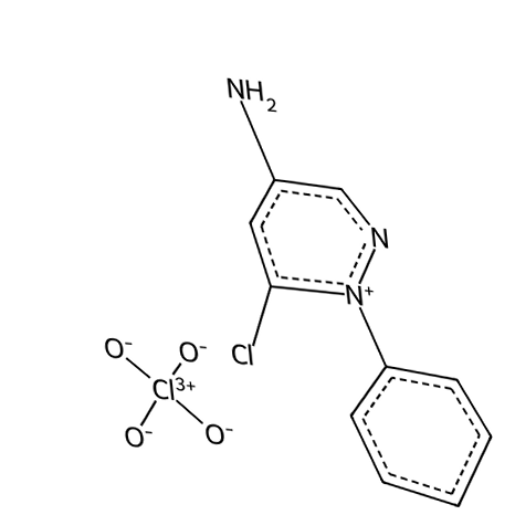 Nc1cn[n+](-c2ccccc2)c(Cl)c1.[O-][Cl+3]([O-])([O-])[O-]